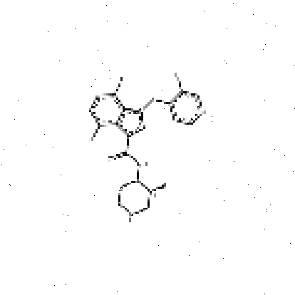 O=C(NC1CCNC[C@@H]1F)c1cn(Cc2ccncc2F)c2c(F)ccc(F)c12